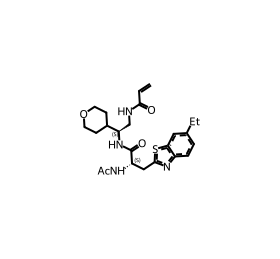 C=CC(=O)NC[C@@H](NC(=O)[C@H](Cc1nc2ccc(CC)cc2s1)NC(C)=O)C1CCOCC1